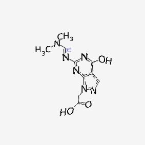 CN(C)/C=N/c1nc(O)c2cnn(CC(=O)O)c2n1